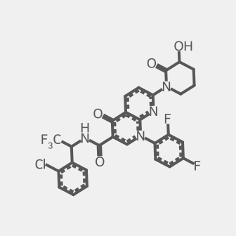 O=C(NC(c1ccccc1Cl)C(F)(F)F)c1cn(-c2ccc(F)cc2F)c2nc(N3CCCC(O)C3=O)ccc2c1=O